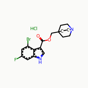 Cl.O=C(OCC12CCN(CC1)CC2)c1c[nH]c2cc(F)cc(Br)c12